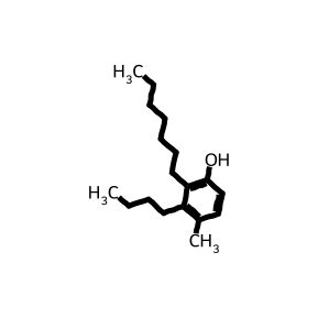 CCCCCCCc1c(O)ccc(C)c1CCCC